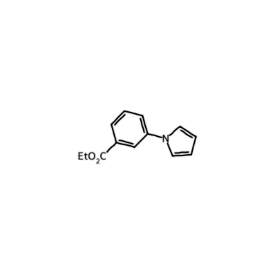 CCOC(=O)c1cccc(-n2cccc2)c1